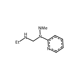 CCNCN(NC)c1ccccn1